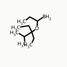 BC(CC)OC(CC)(CC)C(C)C